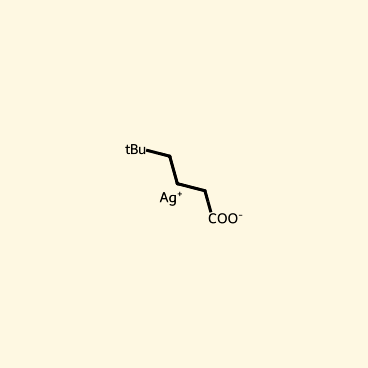 CC(C)(C)CCCC(=O)[O-].[Ag+]